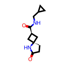 O=C1CC[C@]2(C[C@H](C(=O)NCC3CC3)C2)N1